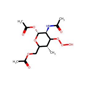 CC(=O)N[C@H]1C(OOO)[C@H](C)C(COC(C)=O)O[C@@H]1OC(C)=O